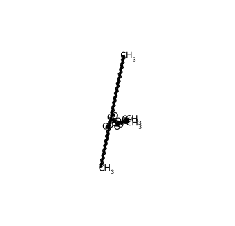 CCCCCCCCCCCCCCCCCCCCCCCCCC(=O)OC(COC(=O)CCCCCCCCCCCCCCCCC)COP(=O)(O)OCC[N+](C)(C)C